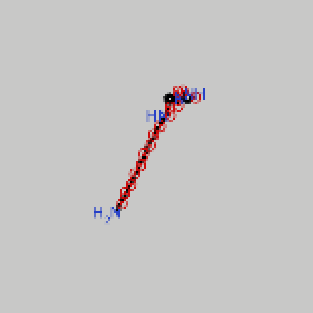 NCCOCCOCCOCCOCCOCCOCCOCCOCCOCCNC(=O)COc1cccc2c1C(=O)N(C1CCC(=O)NC1=O)C2=O